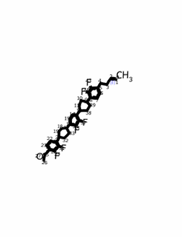 C/C=C/CCc1ccc(C2CCC(c3ccc(C4CCC(c5ccc(C6CO6)c(F)c5F)CC4)c(F)c3F)CC2)c(F)c1F